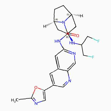 Cc1ncc(-c2cnc3cnc(NC(=O)N4[C@@H]5CC[C@H]4C[C@@H](NC(CF)CF)C5)cc3c2)o1